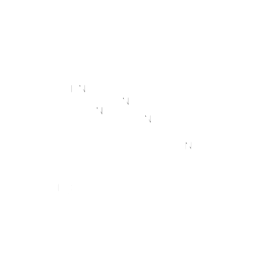 CCCCc1ncccn1.c1c[nH]nn1